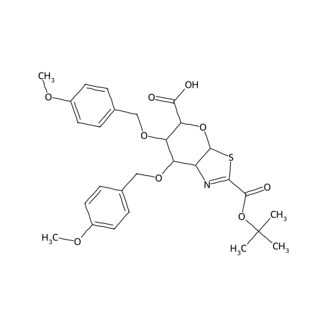 COc1ccc(COC2C(C(=O)O)OC3SC(C(=O)OC(C)(C)C)=NC3C2OCc2ccc(OC)cc2)cc1